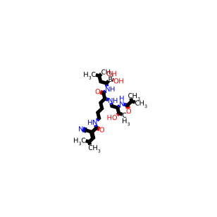 CC(C)C=C(C#N)C(=O)NCCCCC(NCC(NC(=O)C(C)C)C(C)O)C(=O)NC(CC(C)C)B(O)O